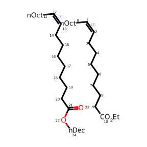 CCCCCCCC/C=C\CCCCCCCC(=O)OCC.CCCCCCCC/C=C\CCCCCCCC(=O)OCCCCCCCCCC